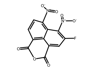 O=C1OC(=O)c2cc(F)c([N+](=O)[O-])c3c([N+](=O)[O-])ccc1c23